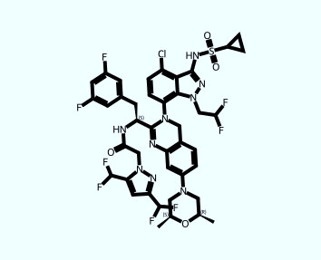 C[C@@H]1CN(c2ccc3c(c2)N=C([C@H](Cc2cc(F)cc(F)c2)NC(=O)Cn2nc(C(F)F)cc2C(F)F)N(c2ccc(Cl)c4c(NS(=O)(=O)C5CC5)nn(CC(F)F)c24)C3)C[C@H](C)O1